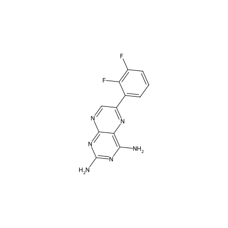 Nc1nc(N)c2nc(-c3cccc(F)c3F)cnc2n1